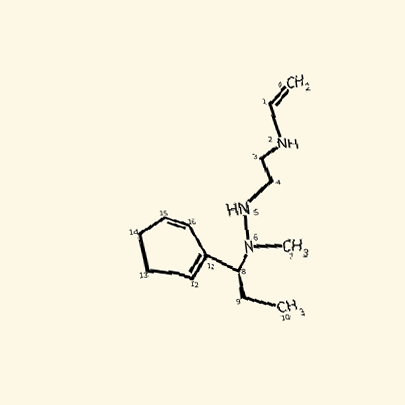 C=CNCCNN(C)[C@@H](CC)C1=CCCC=C1